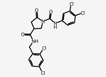 O=C(NCc1ccc(Cl)cc1Cl)C1CC(=O)N(C(=O)Nc2ccc(Cl)c(Cl)c2)C1